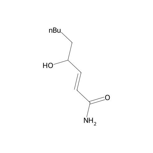 CCCCCC(O)C=CC(N)=O